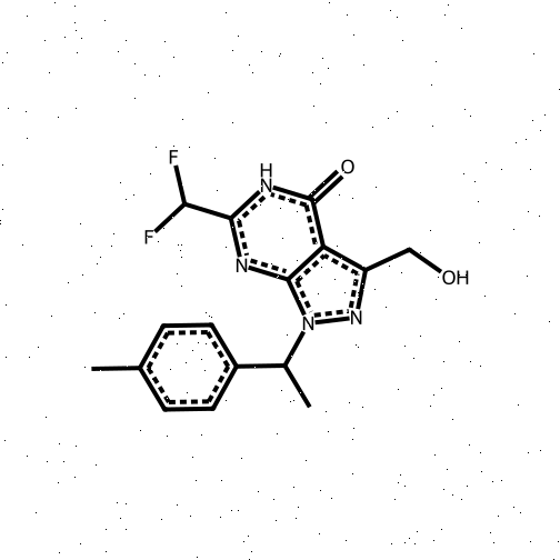 Cc1ccc(C(C)n2nc(CO)c3c(=O)[nH]c(C(F)F)nc32)cc1